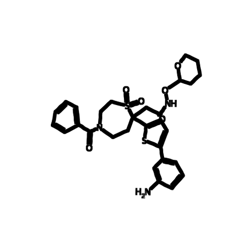 Nc1cccc(-c2ccc(C3(CC(=O)NOC4CCCCO4)CCN(C(=O)c4ccccc4)CCS3(=O)=O)s2)c1